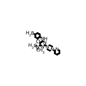 Bc1ccc(Nc2cc(N(C)C)nc(N3CCN(c4ccccn4)CC3)n2)c(Cl)c1